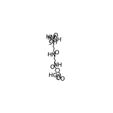 O=C(CCCCC1SC[C@@H]2NC(=O)N[C@H]12)NCCCCNC(=O)C1CCC(CN2C(=O)C=CC2O)CC1